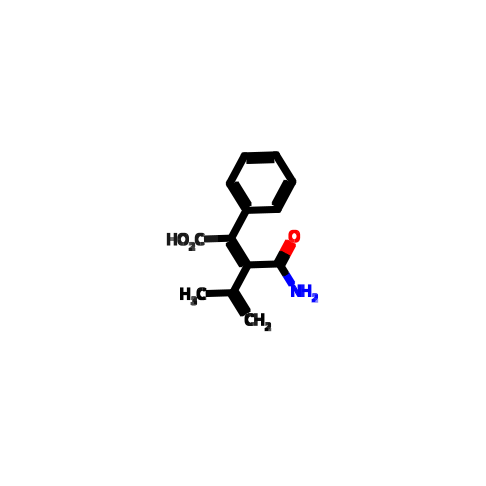 C=C(C)C(C(N)=O)=C(C(=O)O)c1ccccc1